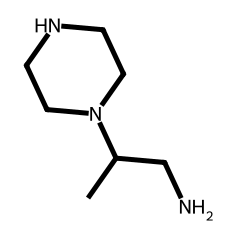 CC(CN)N1CCNCC1